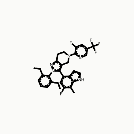 CCc1cccc(CC)c1-n1nc2c(c1-c1cc(F)c(C)c3[nH]ccc13)CN(c1ncc(C(F)(F)F)cc1F)CC2